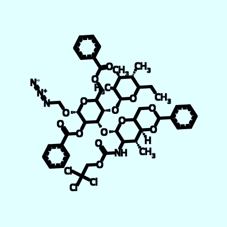 CCC1O[C@@H](O[C@H]2C(COC(=O)c3ccccc3)O[C@@H](OCN=[N+]=[N-])C(OC(=O)c3ccccc3)[C@H]2O[C@@H]2OC3COC(c4ccccc4)O[C@H]3[C@H](C)C2NC(=O)OCC(Cl)(Cl)Cl)C(C)[C@H](C)[C@@H]1C